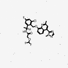 [2H][C@@](C)(NC(=O)COC(F)F)c1cc(F)cc(Cl)c1COc1cccc2c(-c3ncnn3C)cc(C)nc12